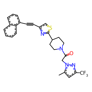 Cc1cc(C(F)(F)F)nn1CC(=O)N1CCC(c2nc(C#Cc3cccc4ccccc34)cs2)CC1